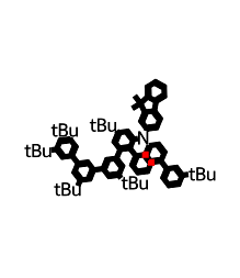 CC(C)(C)c1cccc(-c2ccc(N(c3ccc4c(c3)C(C)(C)c3ccccc3-4)c3cc(C(C)(C)C)cc(-c4cc(-c5cc(-c6cc(C(C)(C)C)cc(C(C)(C)C)c6)cc(C(C)(C)C)c5)cc(C(C)(C)C)c4)c3-c3ccccc3)cc2)c1